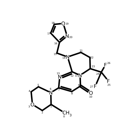 CC1COCCN1c1cc(=O)n2c(n1)N(Cc1ccon1)CCC2C(F)(F)F